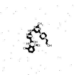 CCOc1cccc(Cl)c1NC(O)c1cnc(Nc2cc(N3CCN(CCO)CC3)nc(C)n2)s1